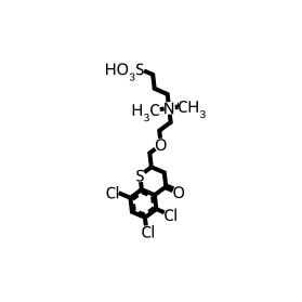 C[N+](C)(CCCS(=O)(=O)O)CCOCC1CC(=O)c2c(Cl)c(Cl)cc(Cl)c2S1